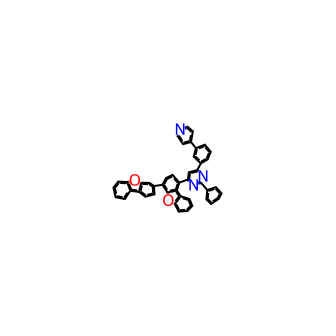 c1ccc(-c2nc(-c3cccc(-c4ccncc4)c3)cc(-c3ccc(-c4ccc5c(c4)oc4ccccc45)c4oc5ccccc5c34)n2)cc1